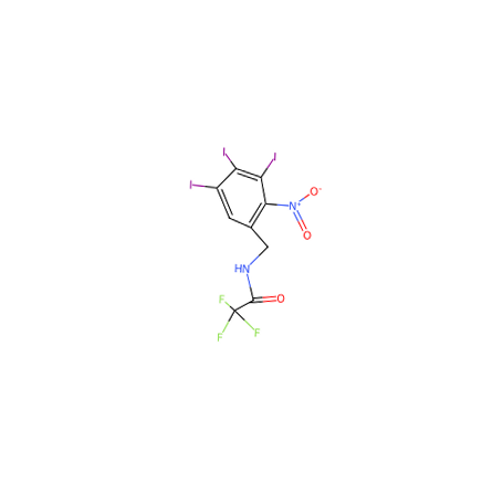 O=C(NCc1cc(I)c(I)c(I)c1[N+](=O)[O-])C(F)(F)F